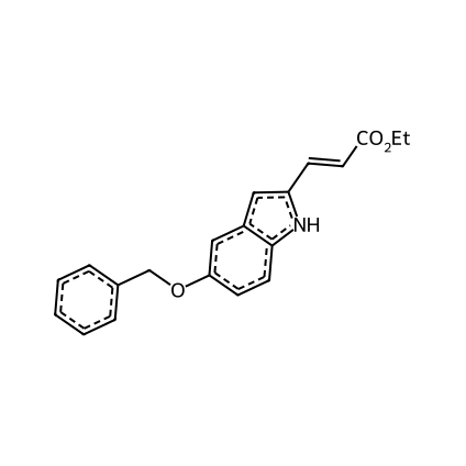 CCOC(=O)C=Cc1cc2cc(OCc3ccccc3)ccc2[nH]1